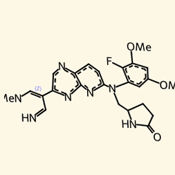 CN/C=C(\C=N)c1cnc2ccc(N(CC3CCC(=O)N3)c3cc(OC)cc(OC)c3F)nc2n1